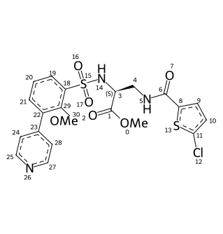 COC(=O)[C@H](CNC(=O)c1ccc(Cl)s1)NS(=O)(=O)c1cccc(-c2ccncc2)c1OC